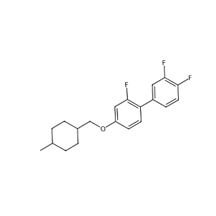 CC1CCC(COc2ccc(-c3ccc(F)c(F)c3)c(F)c2)CC1